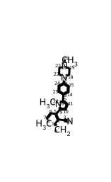 C=C/C(C#N)=C(\C=C/C)c1ccc(-c2ccc(N3CCN(C)CC3)cc2)n1C